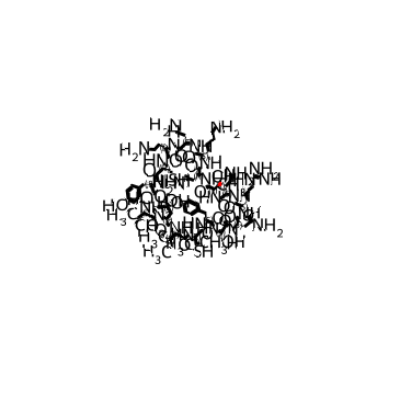 CC[C@H](C)[C@H](NC(=O)[C@@H]1C[C@@H](O)CN1C(=O)[C@@H](N)C(C)C)C(=O)N[C@H](C(=O)N[C@@H](Cc1ccc(O)cc1)C(=O)N[C@@H](CO)C(=O)N[C@@H](CC(N)=O)C(=O)N[C@@H](CCCNC(=N)N)C(=O)N[C@@H](CCN)C(=O)N[C@H](C(=O)N[C@H](CCN)C(=O)N[C@@H](CCCCN)C(=O)N[C@@H](CCN)C(=O)N[C@H](CCN)C(=O)N[C@@H](CS)C(=O)N[C@@H](Cc1ccc(O)cc1)C(=O)O)[C@@H](C)O)C(C)(C)S